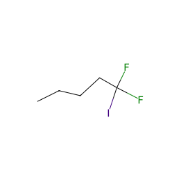 CCCCC(F)(F)I